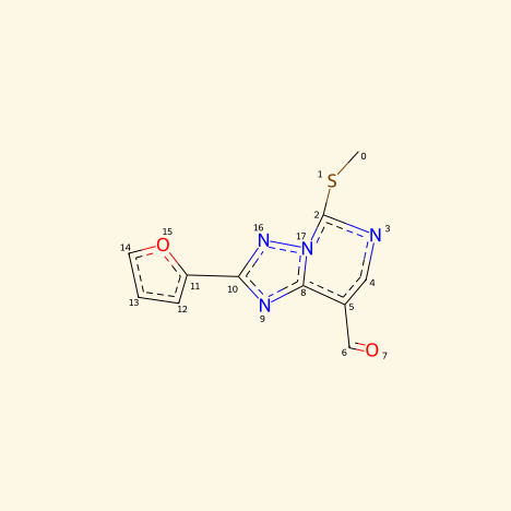 CSc1ncc(C=O)c2nc(-c3ccco3)nn12